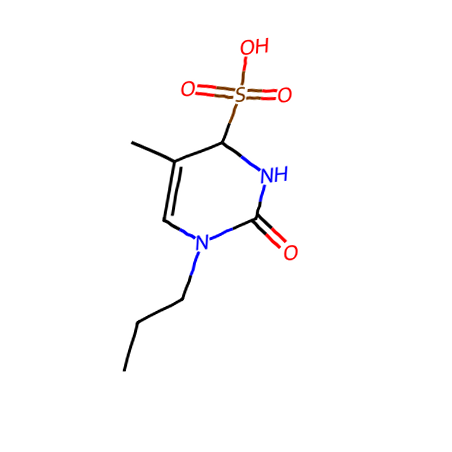 CCCN1C=C(C)C(S(=O)(=O)O)NC1=O